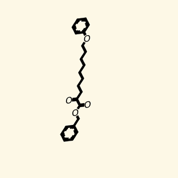 O=C(CCCCCCCCOc1ccccc1)C(=O)OCc1ccccc1